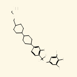 CCOCC1CCC(C2CCC(c3ccc(C(F)(F)Oc4cc(F)c(F)c(F)c4)c(F)c3)CC2)CC1